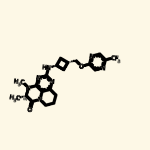 C[C@H]1C(=O)N2CCCc3nc(N[C@H]4C[C@@H](COc5cnc(C(F)(F)F)cn5)C4)nc(c32)N1C